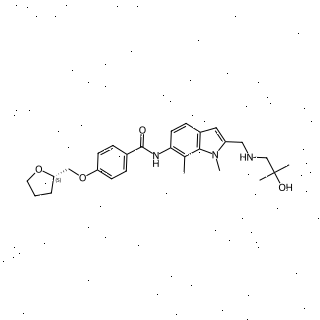 Cc1c(NC(=O)c2ccc(OC[C@@H]3CCCO3)cc2)ccc2cc(CNCC(C)(C)O)n(C)c12